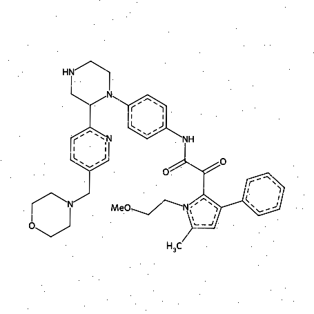 COCCn1c(C)cc(-c2ccccc2)c1C(=O)C(=O)Nc1ccc(N2CCNCC2c2ccc(CN3CCOCC3)cn2)cc1